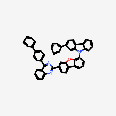 c1ccc(-c2ccc(-c3nc(-c4ccc5c(c4)oc4c(-n6c7ccccc7c7ccc(-c8ccccc8)cc76)cccc45)nc4ccccc34)cc2)cc1